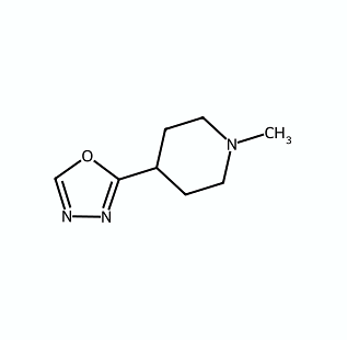 CN1CCC(c2nnco2)CC1